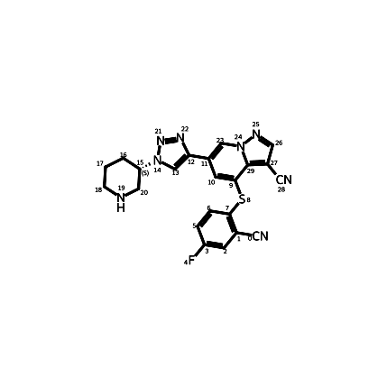 N#Cc1cc(F)ccc1Sc1cc(-c2cn([C@H]3CCCNC3)nn2)cn2ncc(C#N)c12